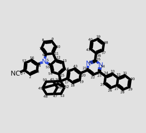 N#Cc1ccc(-n2c3ccccc3c3ccc(C4(c5ccc(-c6cc(-c7ccc8ccccc8c7)nc(-c7ccccc7)n6)cc5)C5CC6CC(C5)CC4C6)cc32)cc1